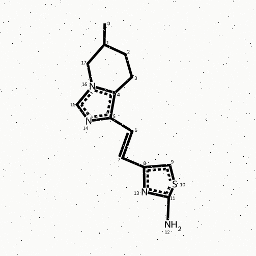 CC1CCc2c(C=Cc3csc(N)n3)ncn2C1